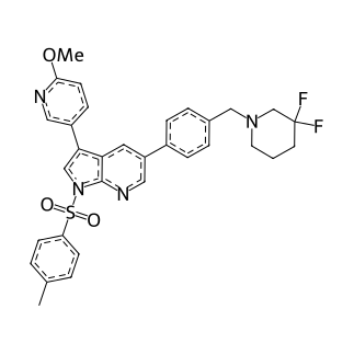 COc1ccc(-c2cn(S(=O)(=O)c3ccc(C)cc3)c3ncc(-c4ccc(CN5CCCC(F)(F)C5)cc4)cc23)cn1